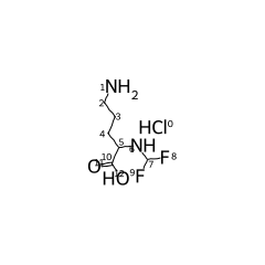 Cl.NCCCC(NC(F)F)C(=O)O